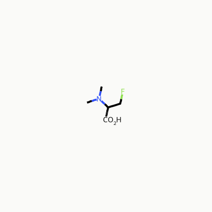 CN(C)C(CF)C(=O)O